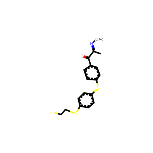 CC(=O)O/N=C(\C)C(=O)c1ccc(Sc2ccc(SCCS)cc2)cc1